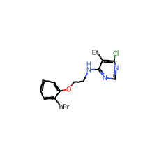 CCCc1ccccc1OCCNc1ncnc(Cl)c1CC